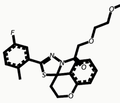 COCCOCC(=O)N1N=C(c2cc(F)ccc2C)SC12CCOc1ccccc12